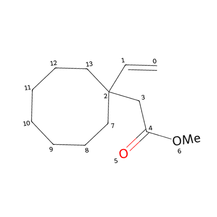 C=CC1(CC(=O)OC)CCCCCCC1